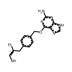 CCC/C=C(/CC)Cc1ccc(COc2nc(N)nc3[nH]cnc23)cc1